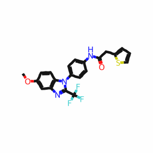 COc1ccc2c(c1)nc(C(F)(F)F)n2-c1ccc(NC(=O)Cc2cccs2)cc1